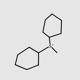 C[S+](C1CCCCC1)C1CCCCC1